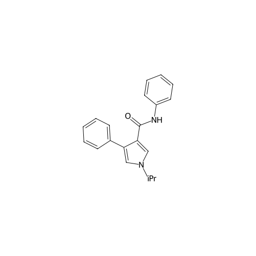 CC(C)n1cc(C(=O)Nc2ccccc2)c(-c2ccccc2)c1